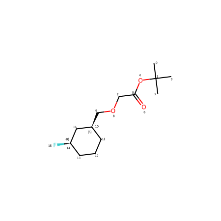 CC(C)(C)OC(=O)COC[C@H]1CCC[C@@H](F)C1